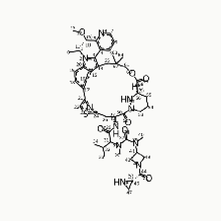 CCn1c(-c2cccnc2[C@H](C)OC)c2c3cc(ccc31)-c1csc(n1)C[C@H](NC(=O)C(C(C)C)N(C)C(=O)N(C)C1CN(C(=O)[C@@H]3CN3)C1)C(=O)N1CCC[C@H](N1)C(=O)OCC(C)(C)C2